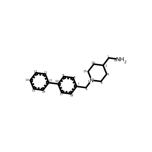 NCC1CCN(Cc2ccc(-c3ccccc3)cc2)CC1